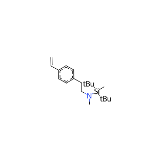 C=Cc1ccc(CCN(C)[Si](C)(C(C)(C)C)C(C)(C)C)cc1